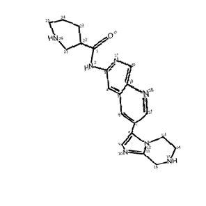 O=C(Nc1cc2cc(-c3cnc4n3CCNC4)cnc2cn1)C1CCCNC1